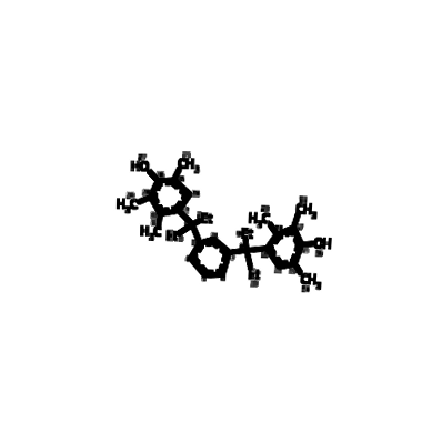 CCC(CC)(c1cccc(C(CC)(CC)c2cc(C)c(O)c(C)c2C)c1)c1cc(C)c(O)c(C)c1C